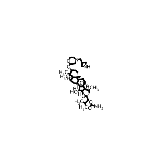 CC(C)[C@@H](OC(N)=O)[C@H]1C[C@@H](C)[C@H]2[C@H](O1)[C@H](O)[C@@]1(C)[C@@H]3CC[C@H]4C(C)(C)[C@@H](O[C@H]5CN(CC6CNC6)CCO5)CC[C@@]45C[C@@]35CC[C@]21C